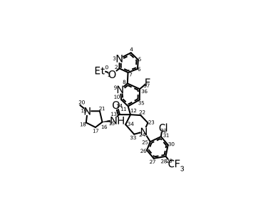 CCOc1ncccc1-c1ncc(C2(C(=O)N[C@H]3CCN(C)C3)CCN(c3ccc(C(F)(F)F)cc3Cl)CC2)cc1F